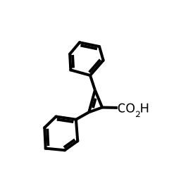 O=C(O)C1C(c2ccccc2)=C1c1ccccc1